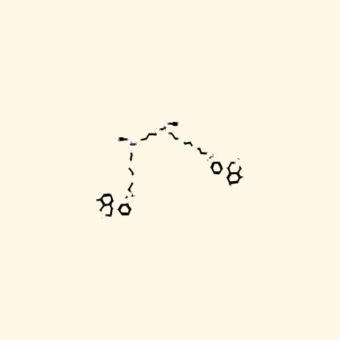 CN1Cc2c(Cl)cc(Cl)cc2[C@@H](c2cccc(S(=O)(=O)NCCOCCOCCN/C(=N\C#N)NCCCCN/C(=N/C#N)NCCOCCOCCNS(=O)(=O)c3cccc([C@@H]4CN(C)Cc5c(Cl)cc(Cl)cc54)c3)c2)C1